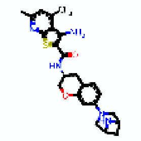 Cc1cc(C(F)(F)F)c2c(N)c(C(=O)N[C@H]3COc4cc(N5CC6CC(C5)N6)ccc4C3)sc2n1